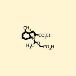 CCOC(=O)c1cc2c(C)cccc2n1C(C)OCC(=O)O